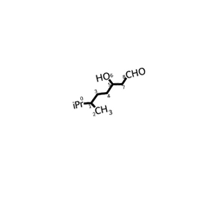 CC(C)C(C)CCC(O)CC=O